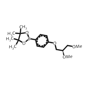 COC[C@H](COc1ccc(B2OC(C)(C)C(C)(C)O2)cc1)OC